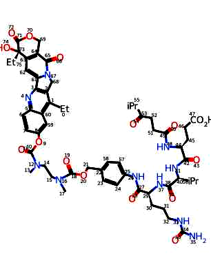 CCc1c2c(nc3ccc(OC(=O)N(C)CCN(C)C(=O)OCc4ccc(NC(=O)[C@H](CCCNC(N)=O)NC(=O)[C@@H](NC(=O)[C@H](CCC(=O)O)NC(=O)CCC(=O)C(C)C)C(C)C)cc4)cc13)-c1cc3c(c(=O)n1C2)COC(=O)[C@]3(O)CC